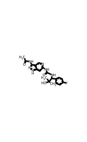 CC(=O)Nc1n[nH]c2cc(NC(=O)NC(c3ccc(F)cc3)C(C)(C)O)ncc12